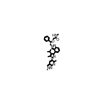 CNC(=O)CO[C@@H](Cn1cc2c(-c3nn(-c4cc5cn(C)nc5nc4C)c(C)c3C(C)C)cccc2n1)c1ccccc1